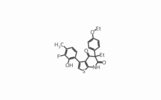 CCOc1ccc(C2(CC)C(=O)Nc3scc(-c4ccc(C)c(F)c4O)c3C2=O)cc1